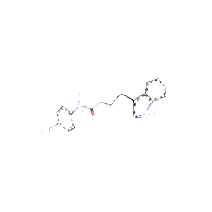 O=C(CCCc1c[nH]c2ccccc12)Nc1ccc(Cl)cc1